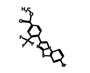 COC(=O)c1ccc(-c2cn3c(n2)sc2cc(Br)ccc23)c(C(F)(F)F)c1